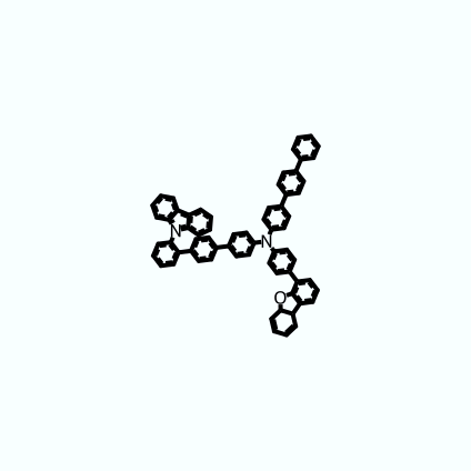 C1=CC2Oc3c(-c4ccc(N(c5ccc(-c6ccc(-c7ccccc7)cc6)cc5)c5ccc(-c6ccc(-c7ccccc7-n7c8ccccc8c8ccccc87)cc6)cc5)cc4)cccc3C2C=C1